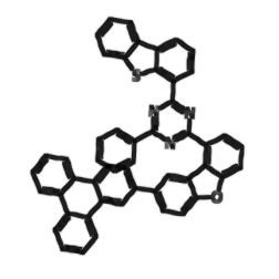 c1ccc(-c2nc(-c3cccc4c3sc3ccccc34)nc(-c3cccc4oc5ccc(-c6ccc7c8ccccc8c8ccccc8c7c6)cc5c34)n2)cc1